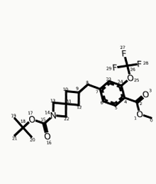 COC(=O)c1ccc(CC2CC3(C2)CN(C(=O)OC(C)(C)C)C3)cc1OC(F)(F)F